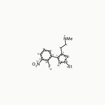 CCn1nc(CCNC)c(-c2cccc([N+](=O)[O-])c2F)n1